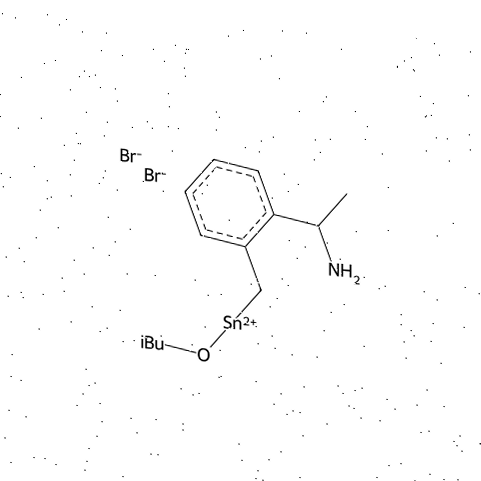 CCC(C)[O][Sn+2][CH2]c1ccccc1C(C)N.[Br-].[Br-]